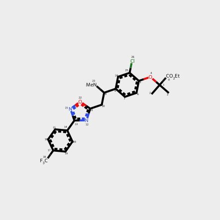 CCOC(=O)C(C)(C)Oc1ccc(C(Cc2nc(-c3ccc(C(F)(F)F)cc3)no2)NC)cc1Cl